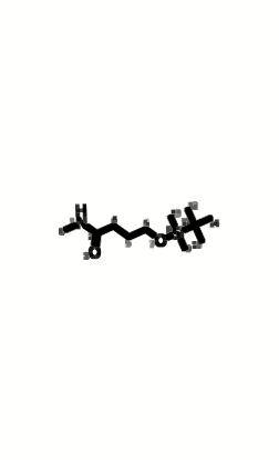 CNC(=O)CCCO[Si](C)(C)C(C)(C)C